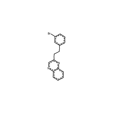 Brc1cccc(CCc2cnc3ccccc3n2)c1